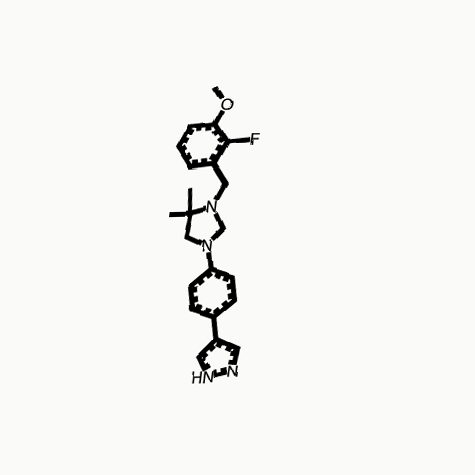 COc1cccc(CN2CN(c3ccc(-c4cn[nH]c4)cc3)CC2(C)C)c1F